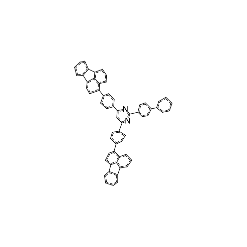 c1ccc(-c2ccc(-c3nc(-c4ccc(-c5ccc6c7c(cccc57)-c5ccccc5-6)cc4)cc(-c4ccc(-c5ccc6c7c(cccc57)-c5ccccc5-6)cc4)n3)cc2)cc1